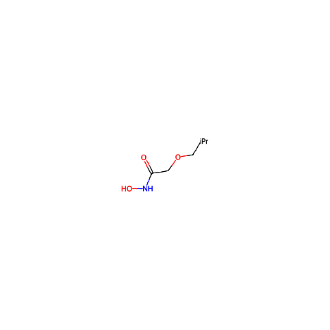 CC(C)COCC(=O)NO